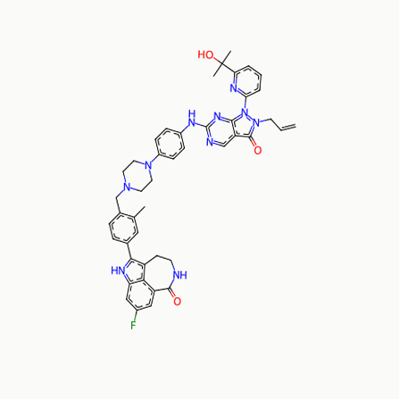 C=CCn1c(=O)c2cnc(Nc3ccc(N4CCN(Cc5ccc(-c6[nH]c7cc(F)cc8c7c6CCNC8=O)cc5C)CC4)cc3)nc2n1-c1cccc(C(C)(C)O)n1